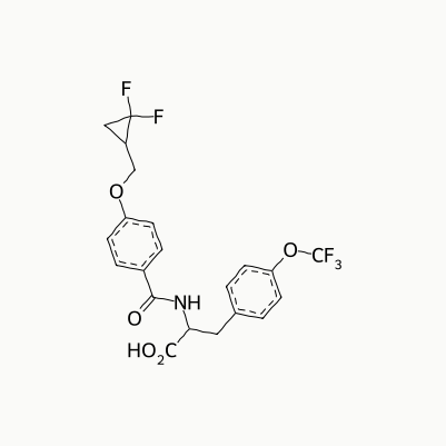 O=C(NC(Cc1ccc(OC(F)(F)F)cc1)C(=O)O)c1ccc(OCC2CC2(F)F)cc1